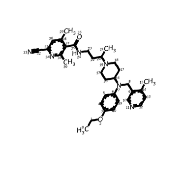 CCOc1ccc(N(Cc2cnccc2C)C2CCN(C(C)CCNC(=O)c3c(C)cc(C#N)nc3C)CC2)cc1